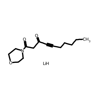 CCCCCC#CC(=O)CC(=O)N1CCOCC1.[LiH]